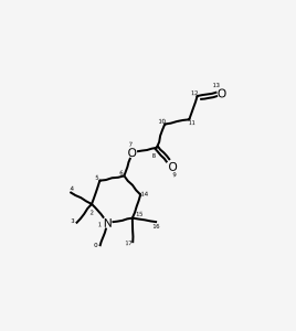 CN1C(C)(C)CC(OC(=O)CCC=O)CC1(C)C